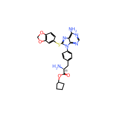 Nc1ncnc2c1nc(Sc1ccc3c(c1)OCO3)n2-c1ccc(C[C@H](N)C(=O)OC2CCCC2)cc1